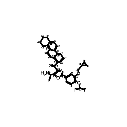 CC(N)c1oc(-c2ccc(OC(F)F)c(OCC3CC3)c2)nc1C(=O)c1cccc2c1ccc1c3c(ccc12)CCCC3